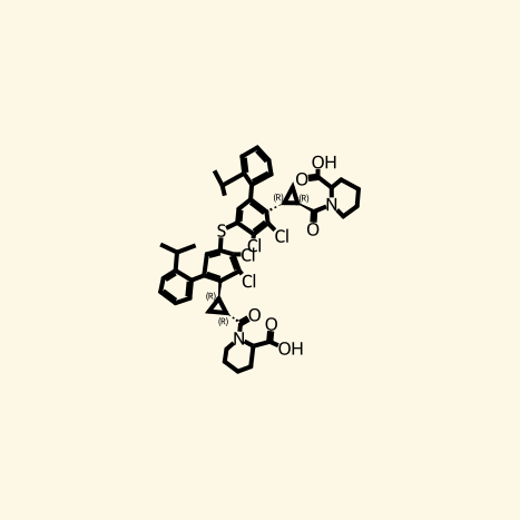 CC(C)c1ccccc1-c1cc(Sc2cc(-c3ccccc3C(C)C)c([C@@H]3C[C@H]3C(=O)N3CCCCC3C(=O)O)c(Cl)c2Cl)c(Cl)c(Cl)c1[C@@H]1C[C@H]1C(=O)N1CCCCC1C(=O)O